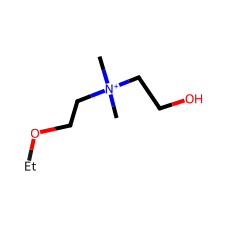 CCOCC[N+](C)(C)CCO